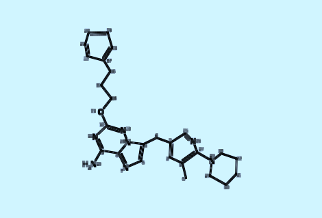 Cc1cc(Cc2cnc3c(N)nc(OCCCc4ccccc4)nn23)cnc1N1CCCCC1